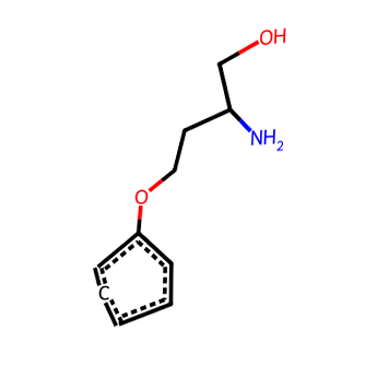 NC(CO)CCOc1ccccc1